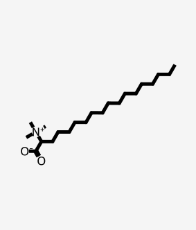 CCCCCCCCCCCCCCCCC(C(=O)[O-])[N+](C)(C)C